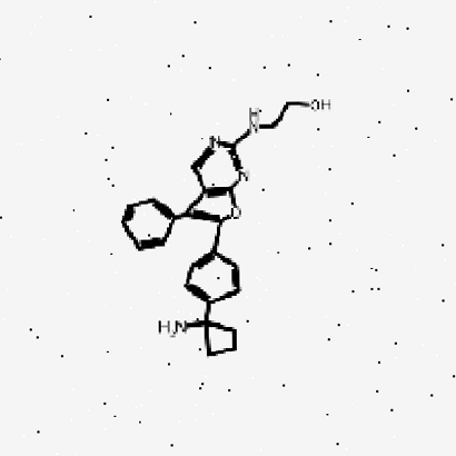 NC1(c2ccc(-c3oc4nc(NCCO)ncc4c3-c3ccccc3)cc2)CCC1